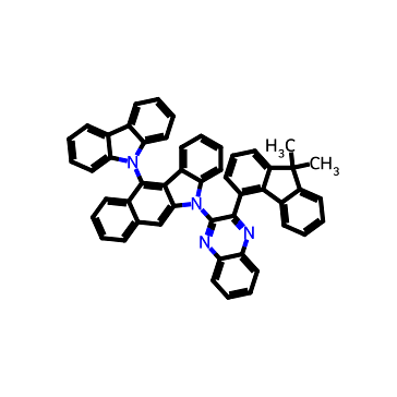 CC1(C)c2ccccc2-c2c(-c3nc4ccccc4nc3-n3c4ccccc4c4c(-n5c6ccccc6c6ccccc65)c5ccccc5cc43)cccc21